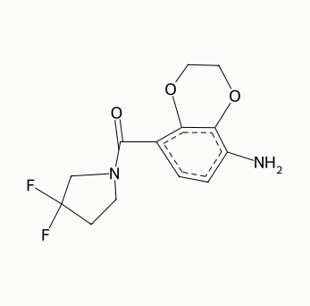 Nc1ccc(C(=O)N2CCC(F)(F)C2)c2c1OCCO2